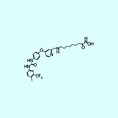 Cc1ccc(NC(=O)Nc2ccc(Oc3ccnc(CNCCCCCCCC(=O)NO)c3)cc2)cc1C(F)(F)F